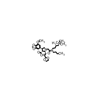 CCCCN(CCCC[N+](C)(C)C)C(=O)CN1C[C@H](c2cc(OC)c3c(c2)OCO3)[C@@H](C(=O)O)[C@@H]1CCC1OCCO1